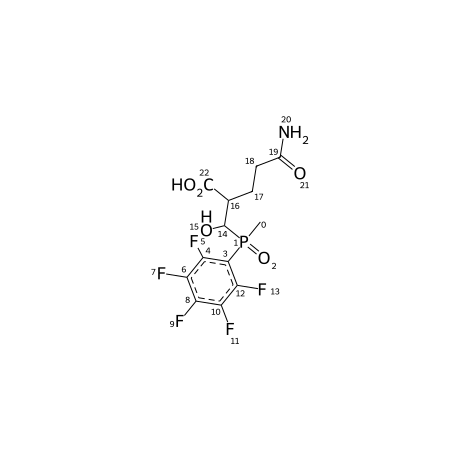 CP(=O)(c1c(F)c(F)c(F)c(F)c1F)C(O)C(CCC(N)=O)C(=O)O